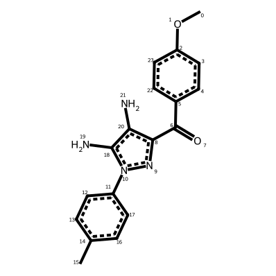 COc1ccc(C(=O)c2nn(-c3ccc(C)cc3)c(N)c2N)cc1